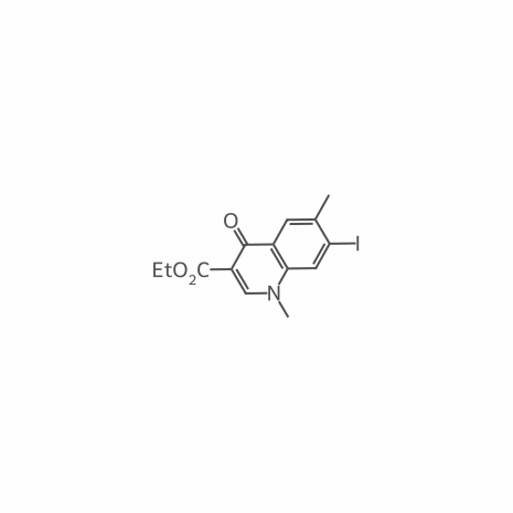 CCOC(=O)c1cn(C)c2cc(I)c(C)cc2c1=O